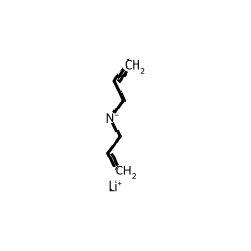 C=CC[N-]CC=C.[Li+]